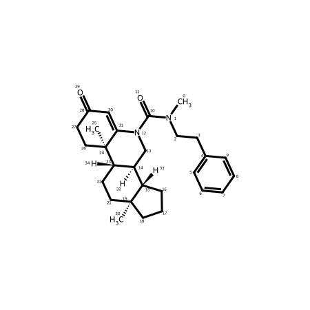 CN(CCc1ccccc1)C(=O)N1C[C@H]2[C@@H]3CCC[C@@]3(C)CC[C@@H]2[C@@]2(C)CCC(=O)C=C12